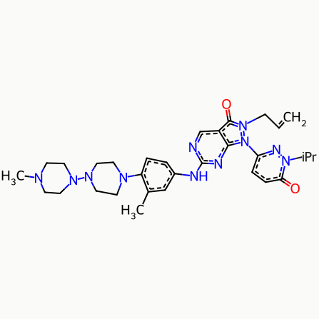 C=CCn1c(=O)c2cnc(Nc3ccc(N4CCN(N5CCN(C)CC5)CC4)c(C)c3)nc2n1-c1ccc(=O)n(C(C)C)n1